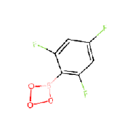 Fc1cc(F)c(B2OOO2)c(F)c1